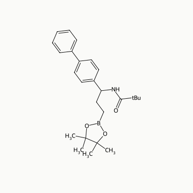 CC(C)(C)C(=O)NC(CCB1OC(C)(C)C(C)(C)O1)c1ccc(-c2ccccc2)cc1